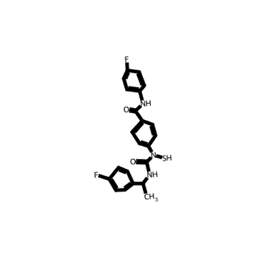 CC(NC(=O)N(S)c1ccc(C(=O)Nc2ccc(F)cc2)cc1)c1ccc(F)cc1